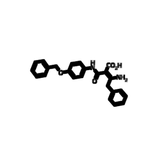 NC(Cc1ccccc1)=C(C(=O)O)C(=O)Nc1ccc(OCc2ccccc2)cc1